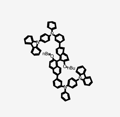 CCCCOc1ccc2cc(-c3cccc(N(c4ccccc4)c4ccc(-n5c6ccccc6c6ccccc65)cc4)c3)ccc2c1-c1c(OCCCC)ccc2cc(-c3cccc(N(c4ccccc4)c4ccc(-n5c6ccccc6c6ccccc65)cc4)c3)ccc12